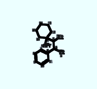 CCCC1(C(CC)C(CC)c2ccccc2)CCCCC1